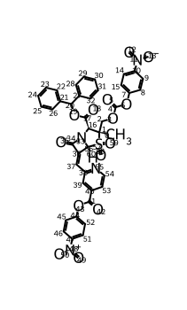 C[C@]1(COC(=O)Oc2ccc([N+](=O)[O-])cc2)[C@H](C(=O)OC(c2ccccc2)c2ccccc2)N2C(=O)/C(=C/c3cc(C(=O)Oc4ccc([N+](=O)[O-])cc4)ccn3)[C@H]2S1(=O)=O